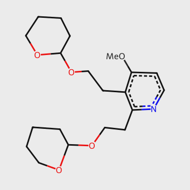 COc1ccnc(CCOC2CCCCO2)c1CCOC1CCCCO1